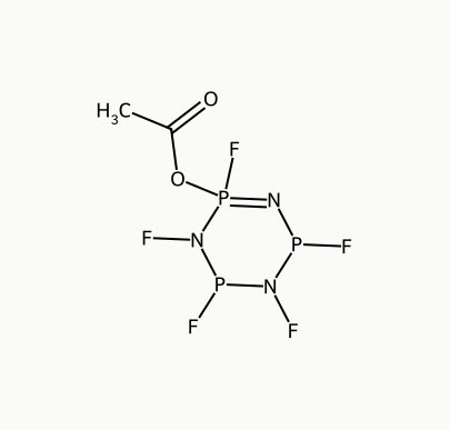 CC(=O)OP1(F)=NP(F)N(F)P(F)N1F